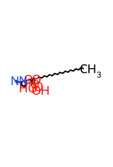 CCCCCCCCCCCCCCCCCCOC[C@H](COP(=O)(O)O)Oc1cccc(C#N)n1